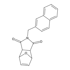 O=C1C2C3C=CC(O3)C2C(=O)N1Cc1ccc2ccccc2c1